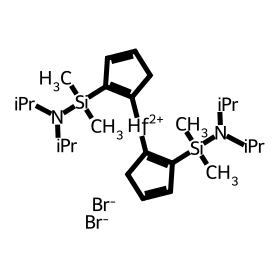 CC(C)N(C(C)C)[Si](C)(C)C1=[C]([Hf+2][C]2=C([Si](C)(C)N(C(C)C)C(C)C)C=CC2)CC=C1.[Br-].[Br-]